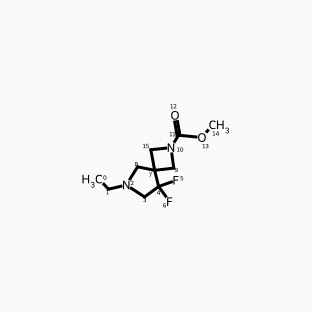 CCN1CC(F)(F)C2(C1)CN(C(=O)OC)C2